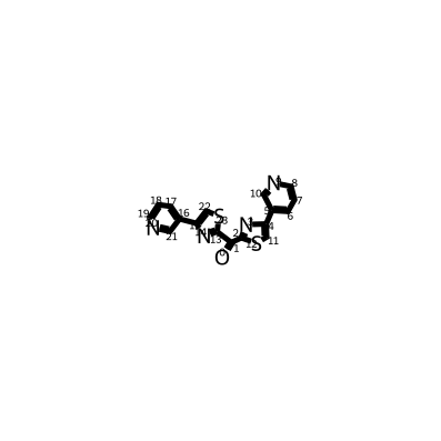 O=C(c1nc(-c2cccnc2)cs1)c1nc(-c2cccnc2)cs1